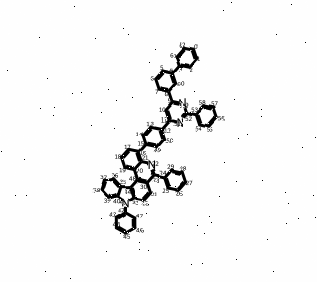 c1ccc(-c2cccc(-c3cc(-c4ccc(-c5cccc6c5nc(-c5ccccc5)c5ccc7c(c8ccccc8n7-c7ccccc7)c56)cc4)nc(-c4ccccc4)n3)c2)cc1